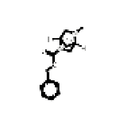 CN1C[C@@H]2C[C@H]1CN2C(=O)OCc1ccccc1